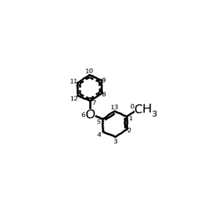 CC1=CCCC(Oc2ccccc2)=C1